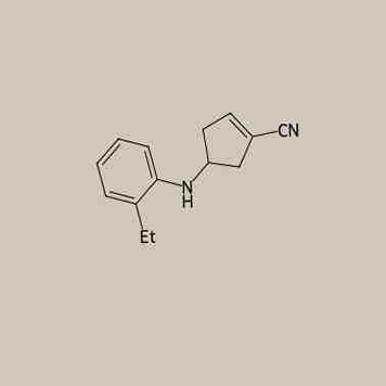 CCc1ccccc1NC1CC=C(C#N)C1